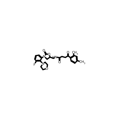 Cc1ccc(C(=O)CCC(=O)NCC2CN(c3cccc(F)c3N3CCOCC3)C(=O)O2)c(C)c1